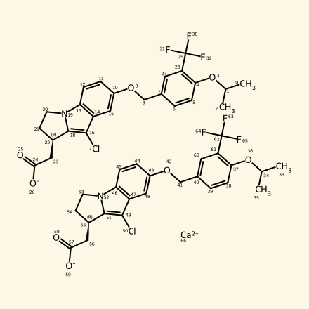 CC(C)Oc1ccc(COc2ccc3c(c2)c(Cl)c2n3CC[C@@H]2CC(=O)[O-])cc1C(F)(F)F.CC(C)Oc1ccc(COc2ccc3c(c2)c(Cl)c2n3CC[C@@H]2CC(=O)[O-])cc1C(F)(F)F.[Ca+2]